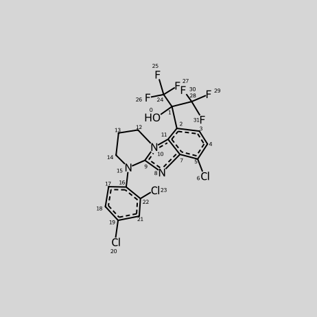 OC(c1ccc(Cl)c2nc3n(c12)CCCN3c1ccc(Cl)cc1Cl)(C(F)(F)F)C(F)(F)F